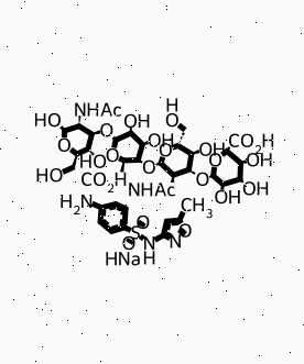 CC(=O)N[C@@H]1[C@@H](O[C@@H]2O[C@H](C(=O)O)[C@@H](O[C@@H]3O[C@H](CO)[C@@H](O)[C@H](O[C@@H]4O[C@H](C(=O)O)[C@@H](O)[C@H](O)[C@H]4O)[C@H]3NC(C)=O)[C@H](O)[C@H]2O)[C@H](O)[C@@H](CO)O[C@H]1O.Cc1cc(NS(=O)(=O)c2ccc(N)cc2)no1.[NaH]